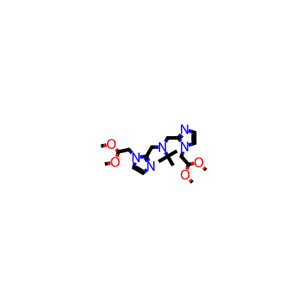 COC(Cn1ccnc1CN(Cc1nccn1CC(OC)OC)C(C)(C)C)OC